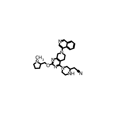 CN1CCCC1COc1nc2c(c(N3CCNC(CC#N)C3)n1)CCN(c1cncc3ccccc13)C2